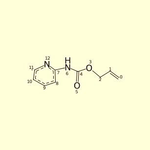 C=CCOC(=O)Nc1ccc[c]n1